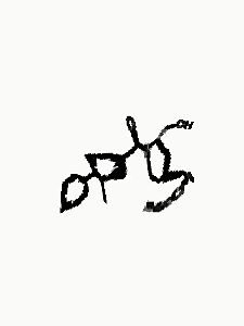 CO/N=C1/C[C@@H](CO)N(C(=O)c2ccc(-c3ccccc3)c(C)c2)C1